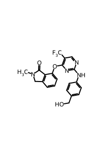 CN1Cc2cccc(Oc3nc(Nc4ccc(CO)cc4)ncc3C(F)(F)F)c2C1=O